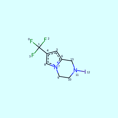 FC(F)(F)c1cc2n(c1)CCN(I)C2